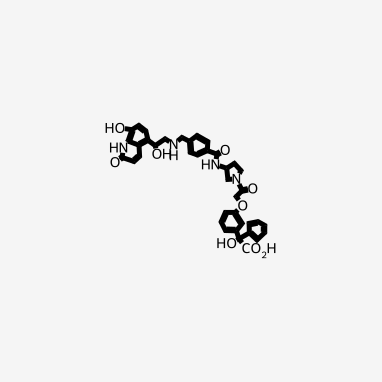 O=C(NC1CCN(C(=O)COc2cccc(C(O)(C(=O)O)c3ccccc3)c2)C1)c1ccc(CNCC(O)c2ccc(O)c3[nH]c(=O)ccc23)cc1